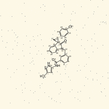 Cc1cc(NC(=O)c2cccc(CN3C(=O)[C@]4(C[C@@H]4c4ccc(Cl)cc4)c4ccccc43)c2)[nH]n1